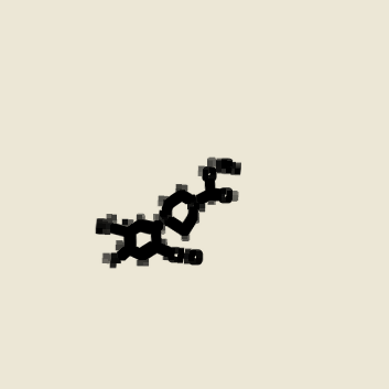 CC(C)(C)OC(=O)N1CCN(c2cc(Br)c(F)cc2C=O)CC1